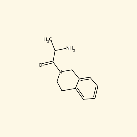 CC(N)C(=O)N1CCc2ccccc2C1